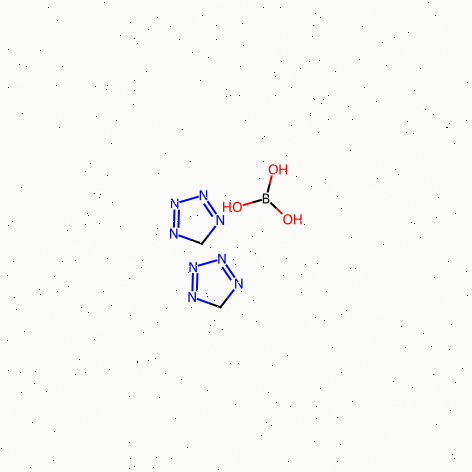 C1N=NN=N1.C1N=NN=N1.OB(O)O